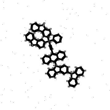 C(#C[Si](c1ccccc1)(c1ccc2oc3ccccc3c2c1)c1ccc2oc3ccccc3c2c1)c1c2ccccc2c(-n2c3ccccc3c3cc(-n4c5ccccc5c5ccccc54)ccc32)c2ccccc12